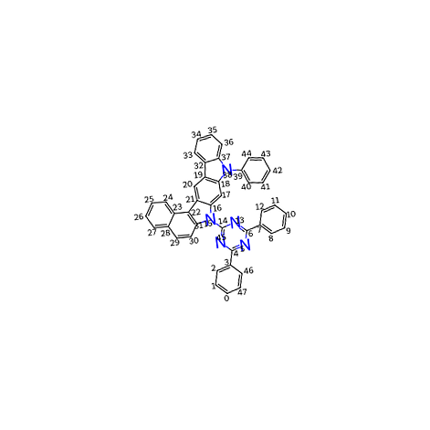 c1ccc(-c2nc(-c3ccccc3)nc(-n3c4cc5c(cc4c4c6ccccc6ccc43)c3ccccc3n5-c3ccccc3)n2)cc1